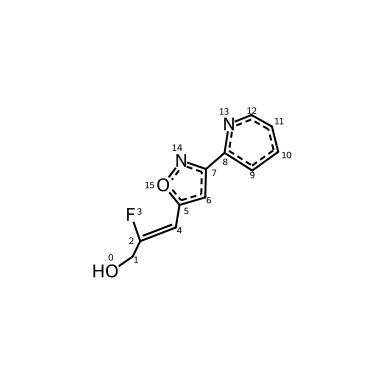 OC/C(F)=C/c1cc(-c2ccccn2)no1